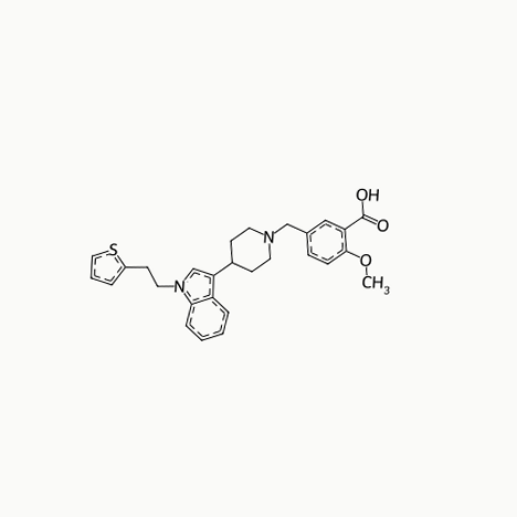 COc1ccc(CN2CCC(c3cn(CCc4cccs4)c4ccccc34)CC2)cc1C(=O)O